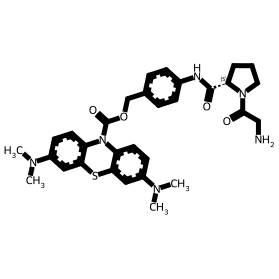 CN(C)c1ccc2c(c1)Sc1cc(N(C)C)ccc1N2C(=O)OCc1ccc(NC(=O)[C@@H]2CCCN2C(=O)CN)cc1